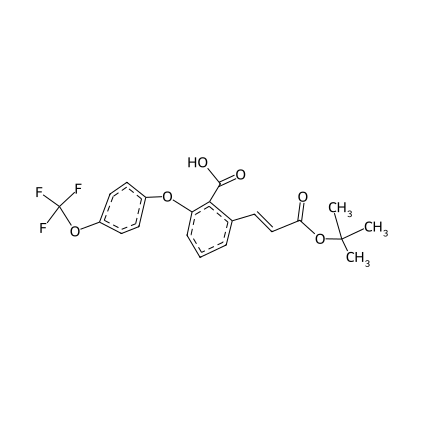 CC(C)(C)OC(=O)C=Cc1cccc(Oc2ccc(OC(F)(F)F)cc2)c1C(=O)O